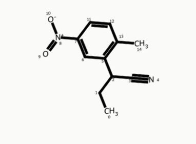 CCC(C#N)c1cc([N+](=O)[O-])ccc1C